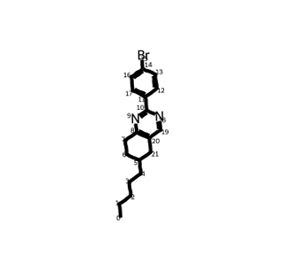 CCCCCC1CCc2nc(-c3ccc(Br)cc3)ncc2C1